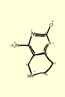 Nc1nc(Cl)nc2c1CNCC2